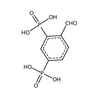 O=Cc1ccc(P(=O)(O)O)cc1P(=O)(O)O